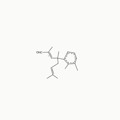 CC(C)=CCC(C)(/C=C(\C)C=O)c1cccc(C)c1C